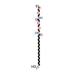 CCOCCOCCNC(=O)COCCOCCNC(=O)CCCCCCCCCCCCCCCCCCC(=O)O